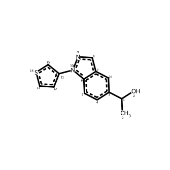 CC(O)c1ccc2c(cnn2-c2ccsc2)c1